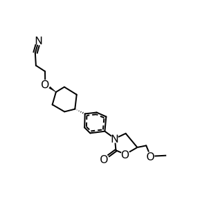 COCC1CN(c2ccc([C@H]3CC[C@H](OCCC#N)CC3)cc2)C(=O)O1